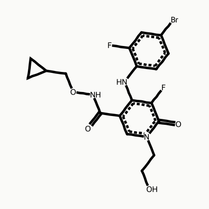 O=C(NOCC1CC1)c1cn(CCO)c(=O)c(F)c1Nc1ccc(Br)cc1F